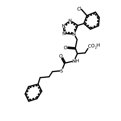 O=C(O)CC(NC(=O)SCCCc1ccccc1)C(=O)Cn1nnnc1-c1ccccc1Cl